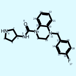 O=C(NC1CCNC1)N1CCN(Cc2ccc(F)cc2)c2ccccc21